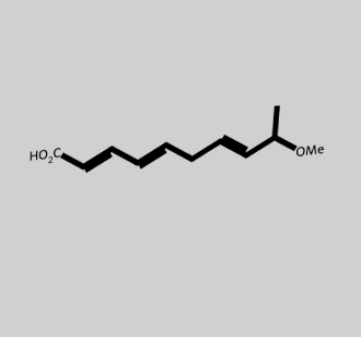 COC(C)/C=C/C/C=C/C=C/C(=O)O